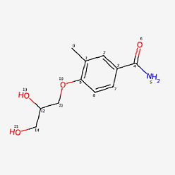 Cc1cc(C(N)=O)ccc1OCC(O)CO